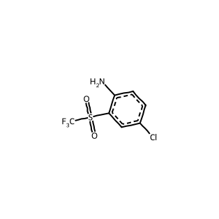 Nc1ccc(Cl)cc1S(=O)(=O)C(F)(F)F